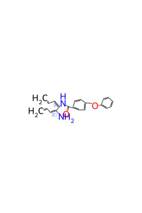 C=C/C=C(N)\C(=C/C=C)NC(=O)c1ccc(COc2ccccc2)cc1